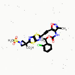 Cc1noc(C#Cc2nc3sc(C4(C(=O)O)CN(S(C)(=O)=O)C4)nc3s2)c1NC(=O)OC(C)c1ccccc1Cl